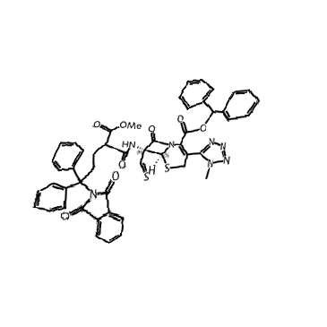 COC(=O)C(CCC(c1ccccc1)(c1ccccc1)N1C(=O)c2ccccc2C1=O)C(=O)N[C@]1(C=S)C(=O)N2C(C(=O)OC(c3ccccc3)c3ccccc3)=C(c3nnnn3C)CS[C@H]21